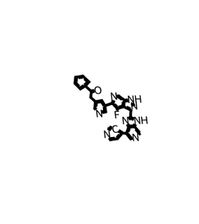 O=C(Cc1cncc(-c2ncc3[nH]nc(-c4nc5c(-c6ccncc6)cncc5[nH]4)c3c2F)c1)c1ccccc1